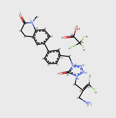 CN1C(=O)CCc2cc(-c3cccc(Cn4nnn(CC(CN)=C(F)F)c4=O)c3)ccc21.O=C(O)C(F)(F)F